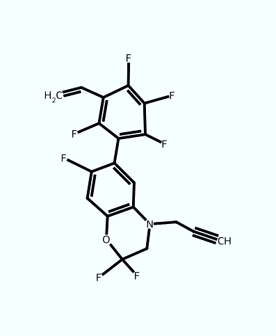 C#CCN1CC(F)(F)Oc2cc(F)c(-c3c(F)c(F)c(F)c(C=C)c3F)cc21